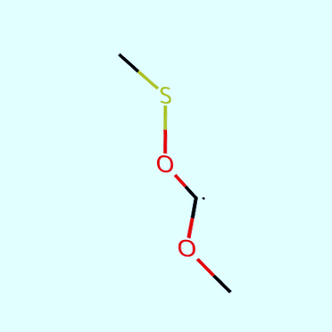 CO[CH]OSC